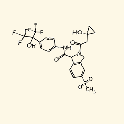 CS(=O)(=O)c1ccc2c(c1)CN(C(=O)CC1(O)CC1)C2C(=O)Nc1ccc(C(O)(C(F)(F)F)C(F)(F)F)cc1